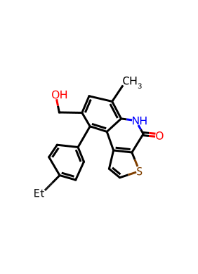 CCc1ccc(-c2c(CO)cc(C)c3[nH]c(=O)c4sccc4c23)cc1